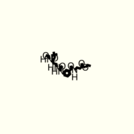 CCOC(=O)CCNC(=O)c1cccc(NC(=O)NCCC(NC=O)OC(C)(C)C)c1